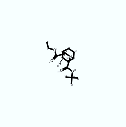 CCOC(=O)[C@H]1C2CCC(CC2)N1C(=O)OC(C)(C)C